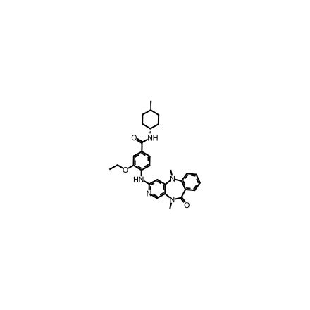 CCOc1cc(C(=O)N[C@H]2CC[C@H](C)CC2)ccc1Nc1cc2c(cn1)N(C)C(=O)c1ccccc1N2C